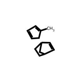 C1=CC2CCC1C2.CC1=CC=CC1